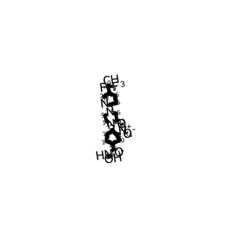 CC(F)(F)c1ccc(N2CCN(c3ccc(C(=O)NO)cc3[N+](=O)[O-])CC2)nc1